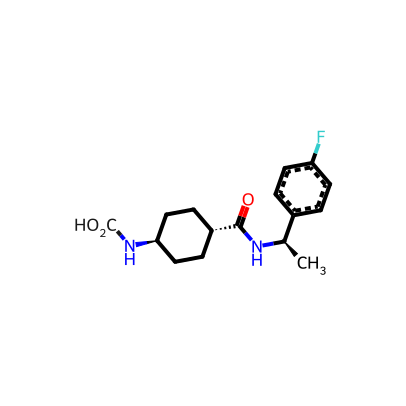 C[C@@H](NC(=O)[C@H]1CC[C@H](NC(=O)O)CC1)c1ccc(F)cc1